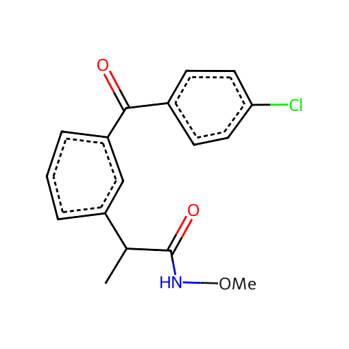 CONC(=O)C(C)c1cccc(C(=O)c2ccc(Cl)cc2)c1